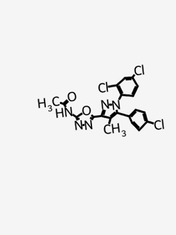 CC(=O)Nc1nnc(-c2nn(-c3ccc(Cl)cc3Cl)c(-c3ccc(Cl)cc3)c2C)o1